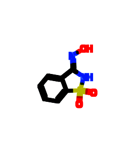 O=S1(=O)NC(=NO)c2ccccc21